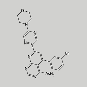 [AsH2]c1ncnc2nc(-c3cnc(N4CCOCC4)cn3)cc(-c3cccc(Br)c3)c12